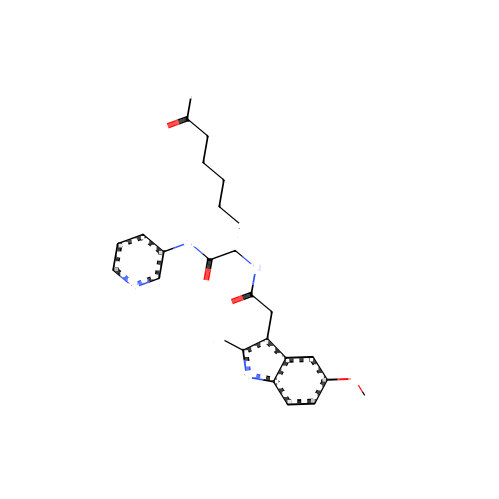 COc1ccc2[nH]c(C)c(CC(=O)N[C@@H](CCCCCC(C)=O)C(=O)Nc3cccnc3)c2c1